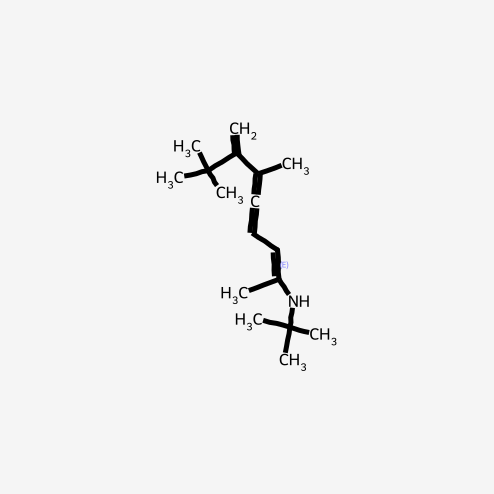 C=C(C(C)=C=C/C=C(\C)NC(C)(C)C)C(C)(C)C